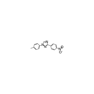 Cc1ccc(-n2cnc(-c3ccc([N+](=O)[O-])cc3)n2)cc1